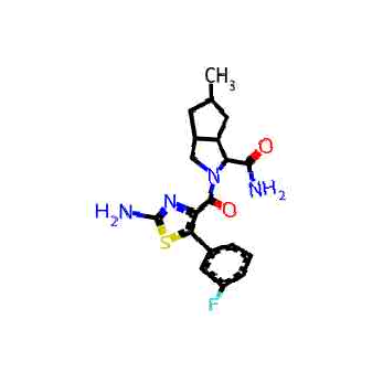 CC1CC2CN(C(=O)c3nc(N)sc3-c3cccc(F)c3)C(C(N)=O)C2C1